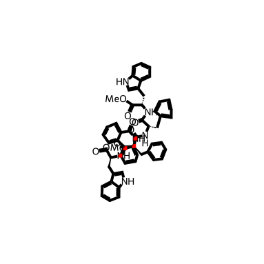 COC(=O)[C@H](Cc1c[nH]c2ccccc12)NC(=O)[C@H](Cc1ccccc1)NC(=O)c1ccccc1-c1ccccc1C(=O)N[C@@H](Cc1ccccc1)C(=O)N[C@@H](Cc1c[nH]c2ccccc12)C(=O)OC